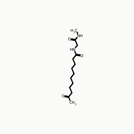 CNC(=O)CNC(=O)CCCCCCCCC(C)=O